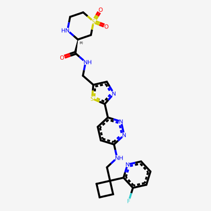 O=C(NCc1cnc(-c2ccc(NCC3(c4ncccc4F)CCC3)nn2)s1)[C@@H]1CS(=O)(=O)CCN1